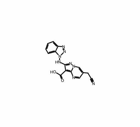 N#CCc1cnc2c(C(=O)O)c(Nn3nnc4ccccc43)nn2c1